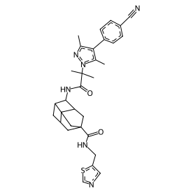 Cc1nn(C(C)(C)C(=O)NC2C3CC4CC2CC(C(=O)NCc2cncs2)(C4)C3)c(C)c1-c1ccc(C#N)cc1